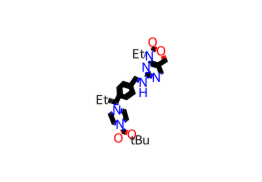 CCC(c1ccc(CNc2ncc3c(n2)N(CC)C(=O)OC3)cc1)N1CCN(C(=O)OC(C)(C)C)CC1